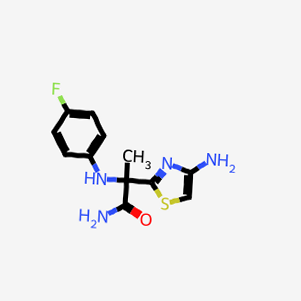 CC(Nc1ccc(F)cc1)(C(N)=O)c1nc(N)cs1